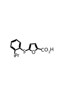 CC(C)c1ccccc1Sc1ccc(C(=O)O)o1